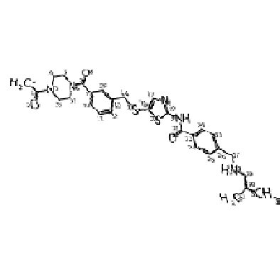 CC(=O)N1CCN(C(=O)c2cccc(CSc3cnc(NC(=O)c4ccc(CNCC(C)C)cc4)s3)c2)CC1